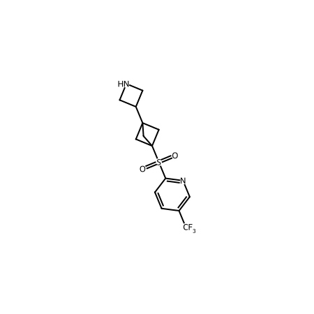 O=S(=O)(c1ccc(C(F)(F)F)cn1)C12CC(C3CNC3)(C1)C2